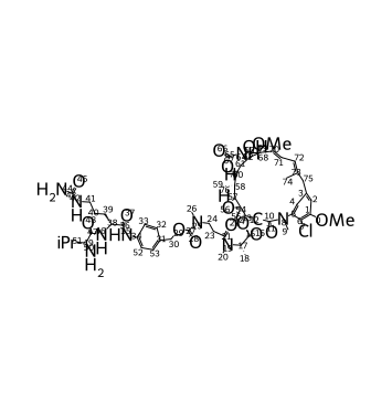 COc1cc2cc(c1Cl)N(C)C(=O)C[C@H](OC(=O)[C@H](C)N(C)C(=O)CCN(C)C(=O)OCc1ccc(NC(=O)[C@H](CCCNC(N)=O)NC(=O)[C@@H](N)C(C)C)cc1)[C@]1(C)O[C@H]1[C@H](C)[C@@H]1C[C@@](O)(NC(=O)O1)[C@H](OC)/C=C/C=C(\C)C2